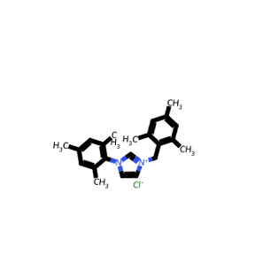 Cc1cc(C)c(C[n+]2ccn(-c3c(C)cc(C)cc3C)c2)c(C)c1.[Cl-]